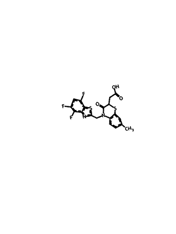 Cc1ccc2c(c1)SC(CC(=O)O)C(=O)N2Cc1nc2c(F)c(F)cc(F)c2s1